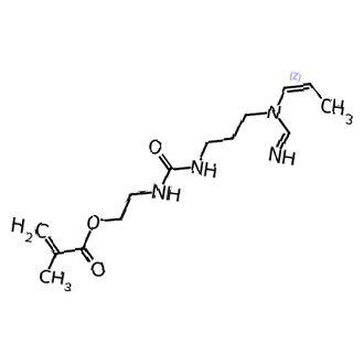 C=C(C)C(=O)OCCNC(=O)NCCCN(C=N)/C=C\C